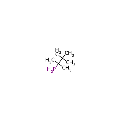 CC(C)(C)C(C)(C)P